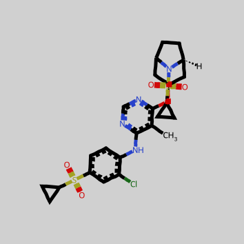 Cc1c(Nc2ccc(S(=O)(=O)C3CC3)cc2Cl)ncnc1O[C@H]1CC2CC[C@@H](C1)N2S(=O)(=O)C1CC1